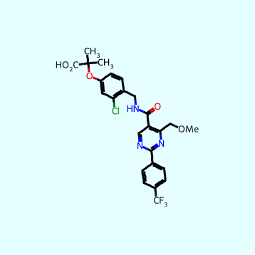 COCc1nc(-c2ccc(C(F)(F)F)cc2)ncc1C(=O)NCc1ccc(OC(C)(C)C(=O)O)cc1Cl